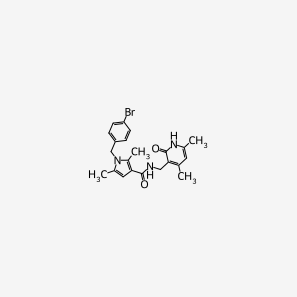 Cc1cc(C)c(CNC(=O)c2cc(C)n(Cc3ccc(Br)cc3)c2C)c(=O)[nH]1